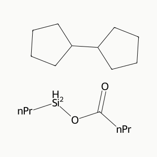 C1CCC(C2CCCC2)C1.CCC[SiH2]OC(=O)CCC